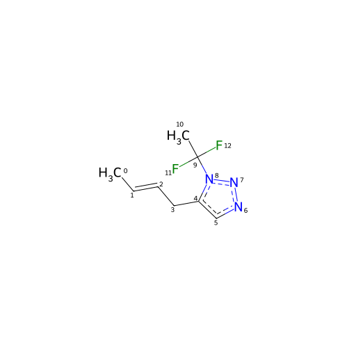 C/C=C/Cc1cnnn1C(C)(F)F